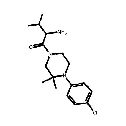 CC(C)C(N)C(=O)N1CCN(c2ccc(Cl)cc2)C(C)(C)C1